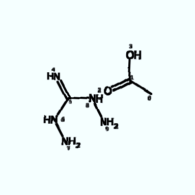 CC(=O)O.N=C(NN)NN